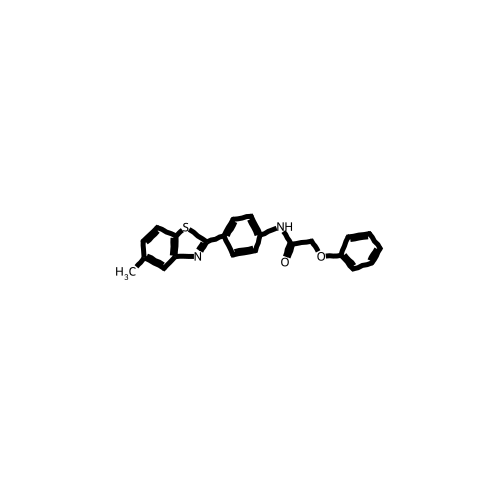 Cc1ccc2sc(-c3ccc(NC(=O)COc4ccccc4)cc3)nc2c1